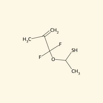 C=C(C)C(F)(F)OC(C)S